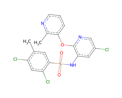 Cc1cc(S(=O)(=O)Nc2cc(Cl)cnc2Oc2cccnc2C)c(Cl)cc1Cl